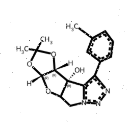 Cc1cccc(-c2nnn3c2[C@@]2(O)C(C3)O[C@@H]3OC(C)(C)O[C@@H]32)c1